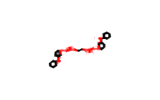 O=C(COc1cccc(C(=O)c2ccccc2)c1)OCCCCOC(=O)COc1cccc(C(=O)c2ccccc2)c1